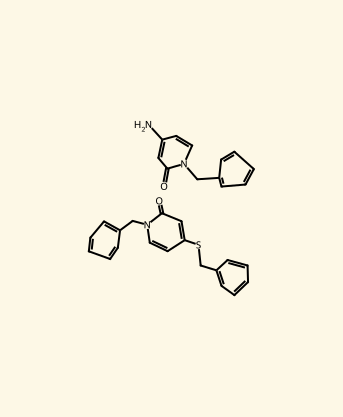 Nc1ccn(Cc2ccccc2)c(=O)c1.O=c1cc(SCc2ccccc2)ccn1Cc1ccccc1